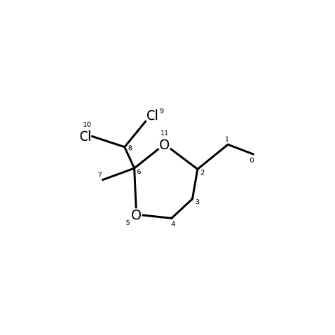 CCC1CCOC(C)(C(Cl)Cl)O1